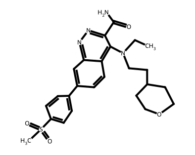 CCN(CCC1CCOCC1)c1c(C(N)=O)nnc2cc(-c3ccc(S(C)(=O)=O)cc3)ccc12